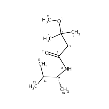 COC(C)(C)CC(=O)N[C@H](C)C(C)C